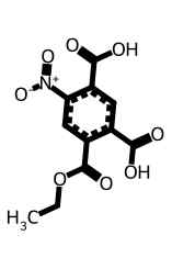 CCOC(=O)c1cc([N+](=O)[O-])c(C(=O)O)cc1C(=O)O